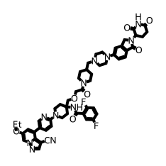 CCOc1cc(-c2ccc(N3CCC(COCC(=O)N4CCC(CN5CCN(c6ccc7c(c6)CN(C6CCC(=O)NC6=O)C7=O)CC5)CC4)(NC(=O)c4cc(F)ccc4F)CC3)nc2)c2c(C#N)cnn2c1